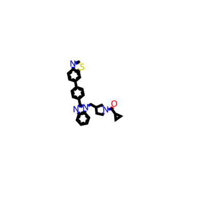 O=C(C1CC1)N1CCC(Cn2c(-c3ccc(-c4ccc5ncsc5c4)cc3)nc3ccccc32)C1